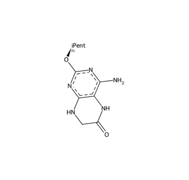 CCC[C@H](C)Oc1nc(N)c2c(n1)NCC(=O)N2